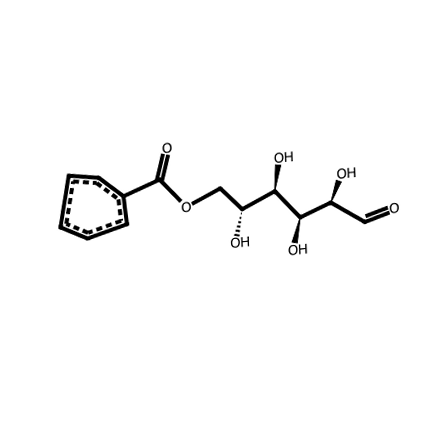 O=C[C@H](O)[C@@H](O)[C@H](O)[C@H](O)COC(=O)c1ccccc1